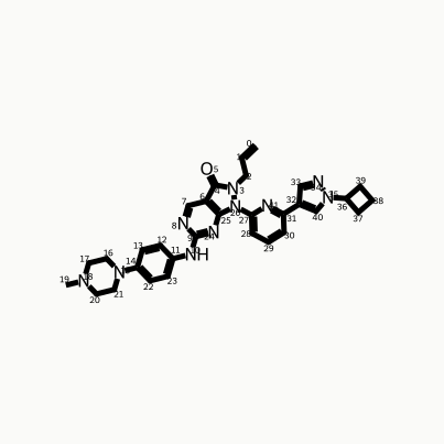 C=CCn1c(=O)c2cnc(Nc3ccc(N4CCN(C)CC4)cc3)nc2n1-c1cccc(-c2cnn(C3CCC3)c2)n1